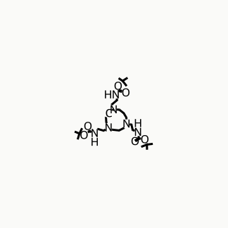 CC(C)(C)OC(=O)NCCN1CCCN(CCNC(=O)OC(C)(C)C)CCCN(CCNC(=O)OC(C)(C)C)CCC1